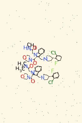 CN(C)C(=O)Cn1c(C(=O)N2CCOCC2)c(CN2CCC(c3c(F)cccc3Cl)CC2)c2ccccc21.CNC(=O)Cn1c(C(=O)N2CCOCC2)c(CN2CCC(c3c(F)cccc3Cl)CC2)c2ccccc21